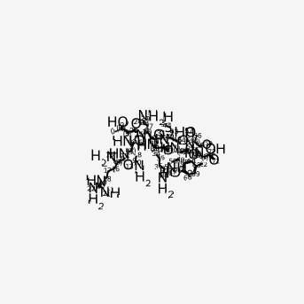 C[C@@H](O)[C@H](NC(=O)[C@H](CCN)NC(=O)[C@@H](N)CCCNC(=N)N)C(=O)N[C@H](CCN)C(=O)N[C@@H](CCCCN)C(=O)N[C@@H](CS)C(=O)N[C@@H](CCN)C(=O)N[C@@H](CO)C(=O)N[C@@H](Cc1ccc(O)cc1)C(=O)O